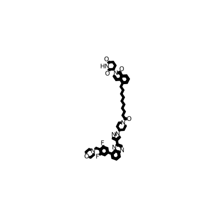 O=C1CCC(n2ccc3c(CCCCCCCCCC(=O)N4CCC(n5cc(-c6cnc7cccc(-c8cc(F)c(CN9CCOCC9)c(F)c8)c7n6)cn5)CC4)cccc3c2=O)C(=O)N1